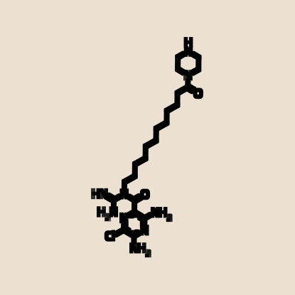 N=C(N)N(CCCCCCCCCCCC(=O)N1CCNCC1)C(=O)c1nc(Cl)c(N)nc1N